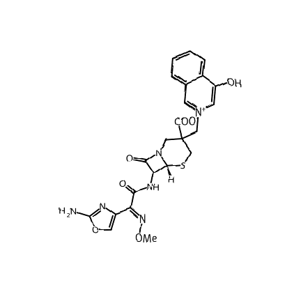 CON=C(C(=O)NC1C(=O)N2CC(C[n+]3cc(O)c4ccccc4c3)(C(=O)[O-])CS[C@H]12)c1coc(N)n1